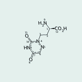 N[C@H](CCn1ncc(=O)[nH]c1=O)C(=O)O